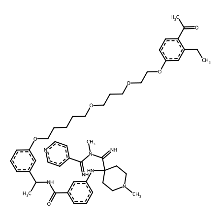 CCc1cc(OCCOCCCOCCCCCOc2cccc(C(C)NC(=O)c3cccc(NC4(C(=N)N(C)C(=N)c5ccncc5)CCN(C)CC4)c3)c2)ccc1C(C)=O